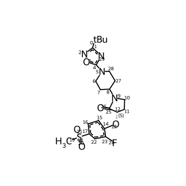 CC(C)(C)c1noc(N2CCC(N3CC[C@H](Oc4ccc(S(C)(=O)=O)cc4F)C3=O)CC2)n1